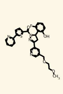 COCCOCc1cncc(C2=NN(C(=O)c3ccc(-c4ccccn4)s3)C(c3c(O)cccc3F)C2)c1